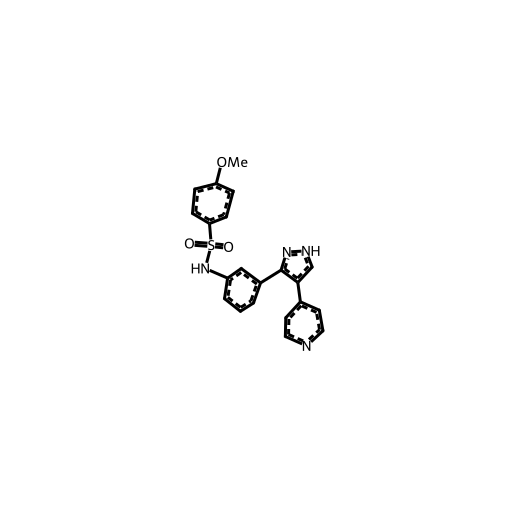 COc1ccc(S(=O)(=O)Nc2cccc(-c3n[nH]cc3-c3ccncc3)c2)cc1